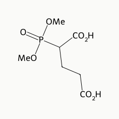 COP(=O)(OC)C(CCC(=O)O)C(=O)O